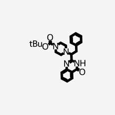 CC(C)(C)OC(=O)N1CCN(C(Cc2ccccc2)c2nc3ccccc3c(=O)[nH]2)CC1